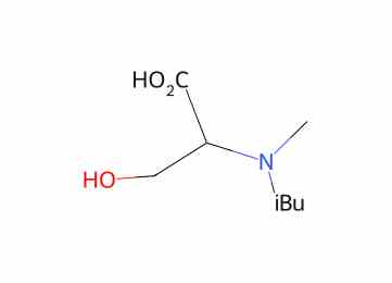 CCC(C)N(C)C(CO)C(=O)O